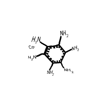 Nc1c(N)c(N)c(N)c(N)c1N.[Co]